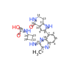 Cc1nc2cccc(-c3cc4c([nH]3)CCNC4=O)c2nc1N[C@H]1C[C@H](NC(=O)O)C1